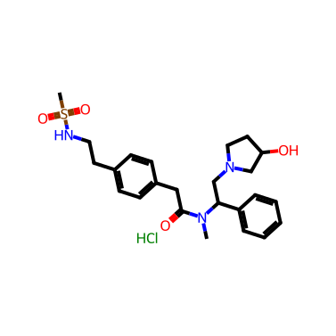 CN(C(=O)Cc1ccc(CCNS(C)(=O)=O)cc1)C(CN1CCC(O)C1)c1ccccc1.Cl